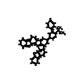 CC(C)c1ccc(-c2cc3c4ccc5c6ccccc6oc5c4n4c3c(c2)c2ccc3c5ccccc5oc3c24)cc1-c1ccccc1